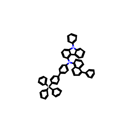 c1ccc(-c2cccc3c(N(c4ccc(-c5ccc([Si](c6ccccc6)(c6ccccc6)c6ccccc6)cc5)cc4)c4cccc5c4c4ccccc4n5-c4ccccc4)cccc23)cc1